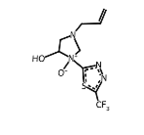 C=CCN1CC(O)[N+]([O-])(c2nnc(C(F)(F)F)s2)C1